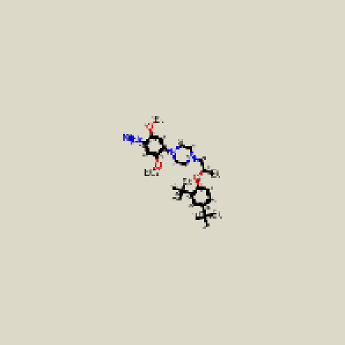 CCOc1cc(N2CCN(CC(CC)Oc3ccc(C(C)(C)CC)cc3C(C)(C)CC)CC2)c(OCC)cc1[N+]#N